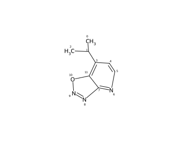 CC(C)c1ccnc2nnoc12